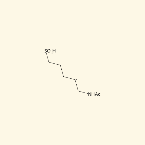 CC(=O)NC[CH]CCCS(=O)(=O)O